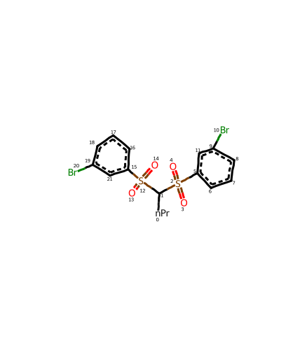 CCCC(S(=O)(=O)c1cccc(Br)c1)S(=O)(=O)c1cccc(Br)c1